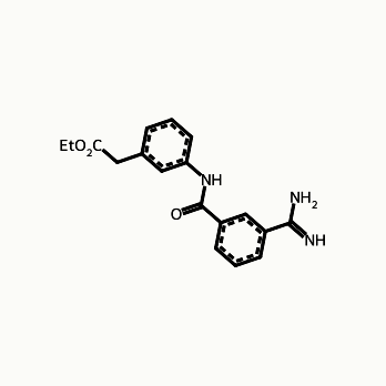 CCOC(=O)Cc1cccc(NC(=O)c2cccc(C(=N)N)c2)c1